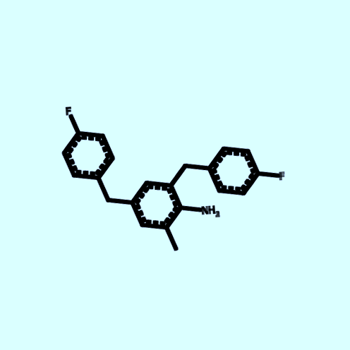 Cc1cc(Cc2ccc(F)cc2)cc(Cc2ccc(F)cc2)c1N